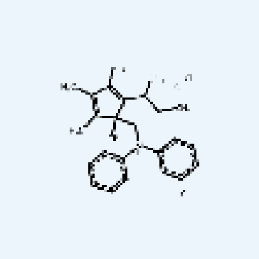 CCC(C)C1=C(C)C(C)=C(C)[C]1([Ti+3])C[SiH](c1ccccc1)c1ccccc1.[Cl-].[Cl-].[Cl-]